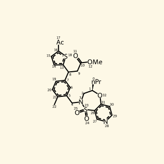 CCC[C@@H]1CN(Cc2cc(C(CC(=O)OC)c3ccc(C(C)=O)s3)ccc2C)S(=O)(=O)c2cnccc2O1